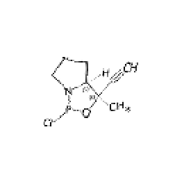 C#C[C@@]1(C)OP(Cl)N2CCC[C@H]21